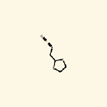 O=C=NCC1SCCS1